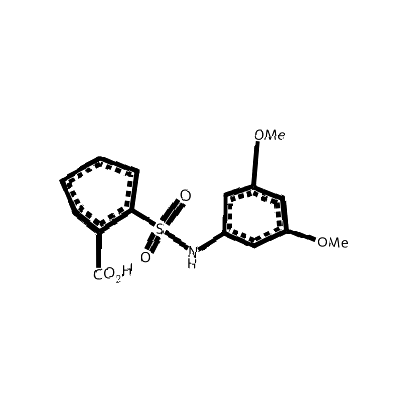 COc1cc(NS(=O)(=O)c2ccccc2C(=O)O)cc(OC)c1